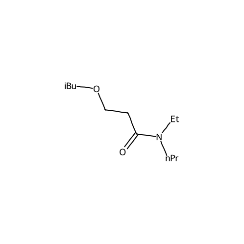 CCCN(CC)C(=O)CCOC(C)CC